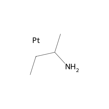 CCC(C)N.[Pt]